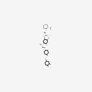 CC(C)[C@@H]1CC[C@@H](C)C[C@H]1OC(=O)[C@@H]1Cc2cc3c(cc2CN1)O[C@@H](c1ccc(OCc2ccc(Cl)c(Cl)c2)cc1)C(=O)N3C